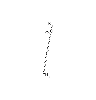 CCCCCCCCC=CCCCCCCCC(=O)OCCBr